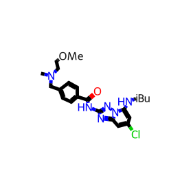 CCC(C)Nc1cc(Cl)cc2nc(NC(=O)c3ccc(CN(C)CCOC)cc3)nn12